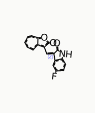 O=C1Nc2ccc(F)cc2/C1=C/c1c2cccccc-2oc1=O